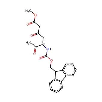 COC(=O)CC(=O)C[C@H](NC(=O)OCC1c2ccccc2-c2ccccc21)C(C)=O